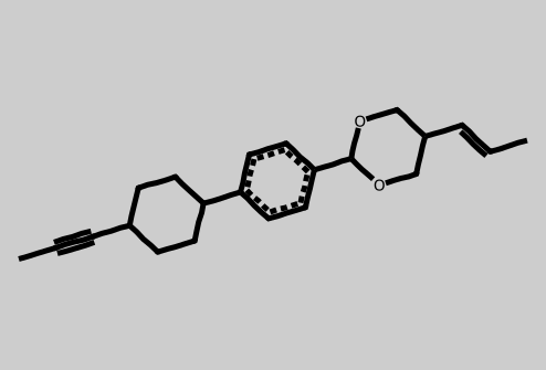 CC#CC1CCC(c2ccc(C3OCC(/C=C/C)CO3)cc2)CC1